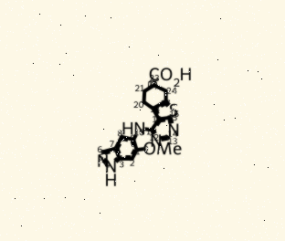 COc1cc2[nH]ncc2cc1Nc1ncnc2sc3c(c12)CC[C@@H](C(=O)O)C3